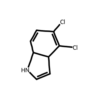 ClC1=C(Cl)C2C=CNC2C=C1